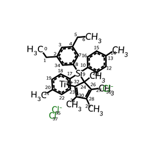 CCc1cc(CC)cc([Si](c2ccc(C)cc2)(c2ccc(C)cc2)C2(C)C(C)=C(C)C(C)=[C]2[Ti+3])c1.[Cl-].[Cl-].[Cl-]